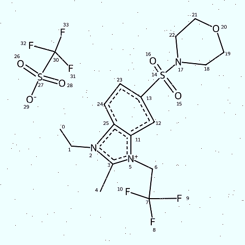 CCn1c(C)[n+](CC(F)(F)F)c2cc(S(=O)(=O)N3CCOCC3)ccc21.O=S(=O)([O-])C(F)(F)F